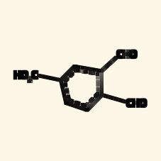 O=Cc1ccc(C(=O)O)cc1C=O